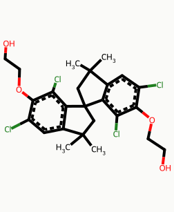 CC1(C)CC2(CC(C)(C)c3cc(Cl)c(OCCO)c(Cl)c32)c2c1cc(Cl)c(OCCO)c2Cl